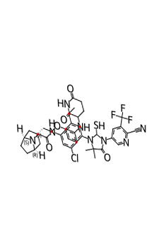 CCc1cc(N2C(S)N(c3cnc(C#N)c(C(F)(F)F)c3)C(=O)C2(C)C)ccc1OCC[C@@H]1C[C@H]2CC[C@@H](C1)N2CC(=O)Nc1cc(Cl)cc(NC2CCC(=O)NC2=O)c1